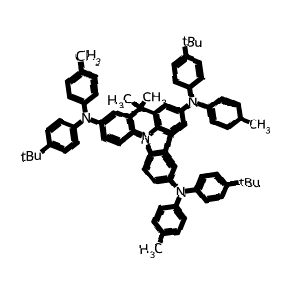 Cc1ccc(N(c2ccc(C(C)(C)C)cc2)c2ccc3c(c2)C(C)(C)c2cc(N(C4=CCC(C)C=C4)C4C=CC(C(C)(C)C)=CC4)cc4c5cc(N(c6ccc(C)cc6)c6ccc(C(C)(C)C)cc6)ccc5n-3c24)cc1